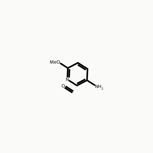 C=O.COc1ccc(N)cn1